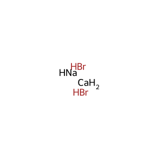 Br.Br.[CaH2].[NaH]